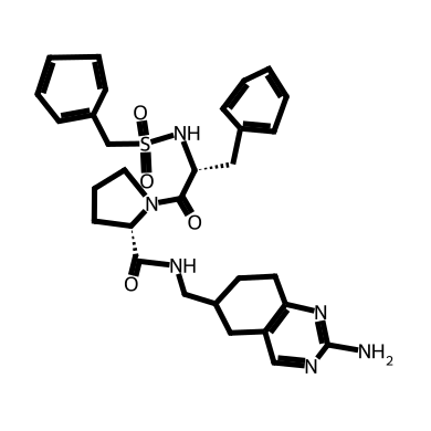 Nc1ncc2c(n1)CCC(CNC(=O)[C@@H]1CCCN1C(=O)[C@@H](Cc1ccccc1)NS(=O)(=O)Cc1ccccc1)C2